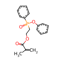 C=C(C)C(=O)OCCP(=O)(Oc1ccccc1)c1ccccc1